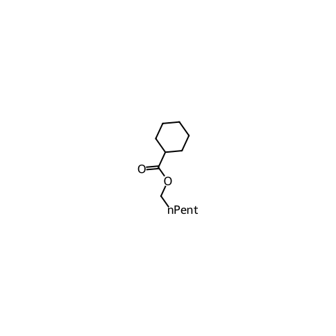 [CH2]CCCCCOC(=O)C1CCCCC1